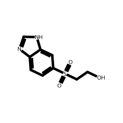 O=S(=O)(CCO)c1ccc2n[c][nH]c2c1